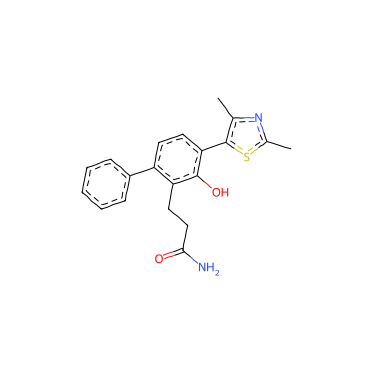 Cc1nc(C)c(-c2ccc(-c3ccccc3)c(CCC(N)=O)c2O)s1